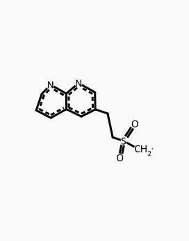 [CH2]S(=O)(=O)CCc1cnc2ncccc2c1